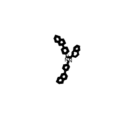 C1=C(c2nc(-c3ccc(-c4ccc5ccccc5c4)cc3)nn2-c2ccc(-c3ccc4ccccc4c3)cc2)CCc2ccccc21